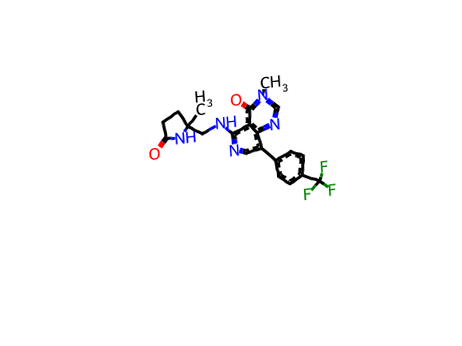 Cn1cnc2c(-c3ccc(C(F)(F)F)cc3)cnc(NCC3(C)CCC(=O)N3)c2c1=O